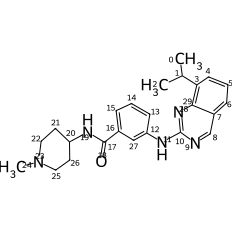 CC(C)c1cccc2cnc(Nc3cccc(C(=O)NC4CCN(C)CC4)c3)nc12